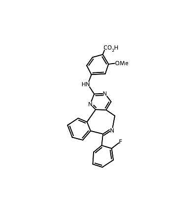 COc1cc(Nc2ncc3c(n2)-c2ccccc2C(c2ccccc2F)=NC3)ccc1C(=O)O